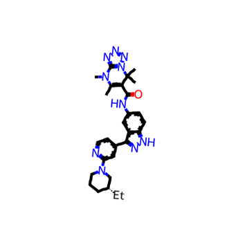 CC[C@@H]1CCCN(c2cc(-c3n[nH]c4ccc(NC(=O)C5=C(C)N(C)c6nnnn6C5(C)C)cc34)ccn2)C1